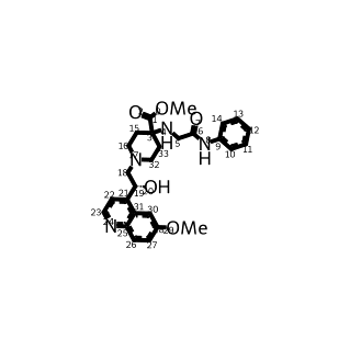 COC(=O)C1(NCC(=O)Nc2ccccc2)CCN(C[C@H](O)c2ccnc3ccc(OC)cc23)CC1